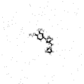 C=C/C=C\C(=C/C=C)n1cc(Cn2ccnc2)nn1